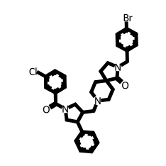 O=C(c1cccc(Cl)c1)N1CC(CN2CCC3(CC2)CCN(Cc2ccc(Br)cc2)C3=O)C(c2ccccc2)C1